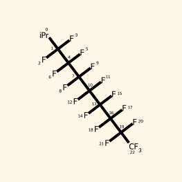 [CH2]C(C)C(F)(F)C(F)(F)C(F)(F)C(F)(F)C(F)(F)C(F)(F)C(F)(F)C(F)(F)F